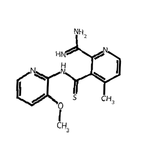 COc1cccnc1NC(=S)c1c(C)ccnc1C(=N)N